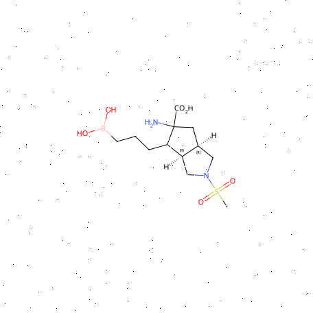 CS(=O)(=O)N1C[C@@H]2CC(N)(C(=O)O)C(CCCB(O)O)[C@@H]2C1